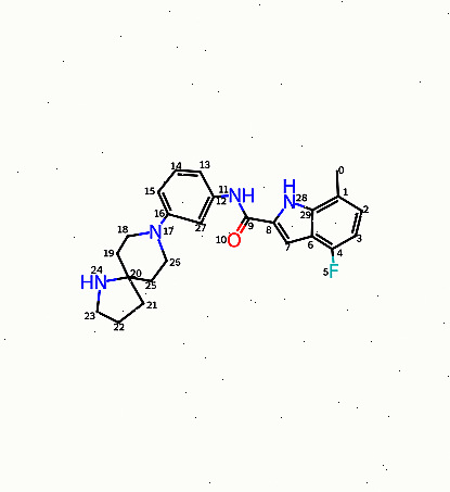 Cc1ccc(F)c2cc(C(=O)Nc3cccc(N4CCC5(CCCN5)CC4)c3)[nH]c12